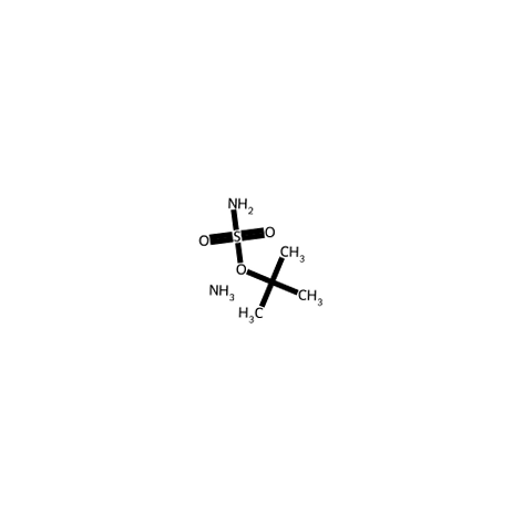 CC(C)(C)OS(N)(=O)=O.N